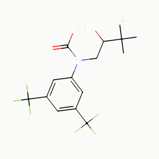 CC(C)(C)C(O)CN(C(=O)O)c1cc(C(F)(F)F)cc(C(F)(F)F)c1